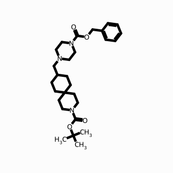 CC(C)(C)OC(=O)N1CCC2(CCC(CN3CCN(C(=O)OCc4ccccc4)CC3)CC2)CC1